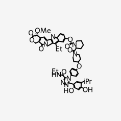 CCNC(=O)c1nnc(-c2cc(C(C)C)c(O)cc2O)n1-c1ccc(OC2CCN(C(=O)C3CCCCN3C(=O)Oc3ccc4nc5c(c(CC)c4c3)Cn3c-5cc4c(c3=O)COC(=O)[C@H]4OC)CC2)cc1